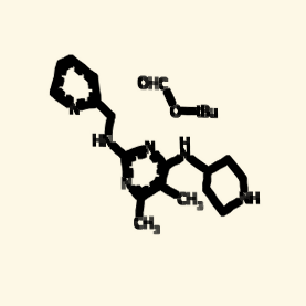 CC(C)(C)OC=O.Cc1nc(NCc2ccccn2)nc(NC2CCNCC2)c1C